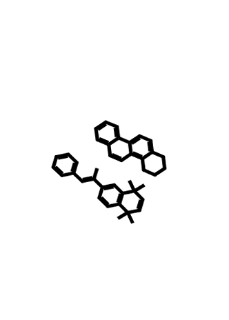 CC(=Cc1ccccc1)c1ccc2c(c1)C(C)(C)C=CC2(C)C.c1ccc2c(c1)ccc1c3c(ccc12)CCCC3